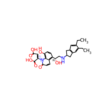 CCc1cc2c(cc1CC)CC(NC[C@H](O)c1ccc(O)c3c1ccc(=O)n3/C(=C/C(=O)O)C(=O)O)C2